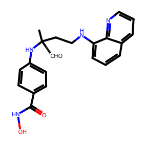 CC(C=O)(CCNc1cccc2cccnc12)Nc1ccc(C(=O)NO)cc1